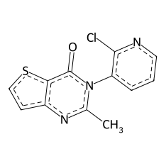 Cc1nc2ccsc2c(=O)n1-c1cccnc1Cl